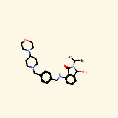 CCCCC(C(C)=O)N1C(=O)c2c(NCc3ccc(CN4CCC(N5CCOCC5)CC4)cc3)cccc2C1O